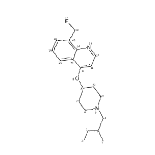 CCC(C)CN1CCC(Oc2ccnc3c(CF)cccc23)CC1